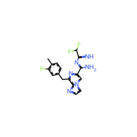 Cc1ccc(Cc2nc(/C(N)=N/C(=N)C(F)F)cn3ccnc23)cc1F